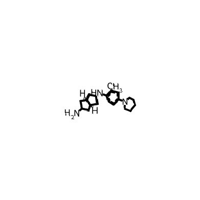 Cc1cc(N2CCCCC2)ccc1NC1C[C@H]2CC(N)C[C@H]2C1